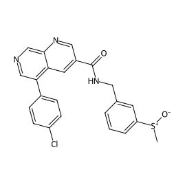 C[S+]([O-])c1cccc(CNC(=O)c2cnc3cncc(-c4ccc(Cl)cc4)c3c2)c1